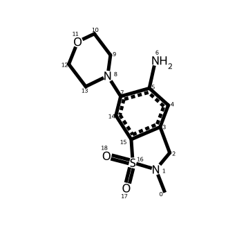 CN1Cc2cc(N)c(N3CCOCC3)cc2S1(=O)=O